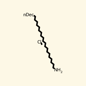 CCCCCCCCCCCCCCCCCCCCCCCCCCCCCCN.CCl